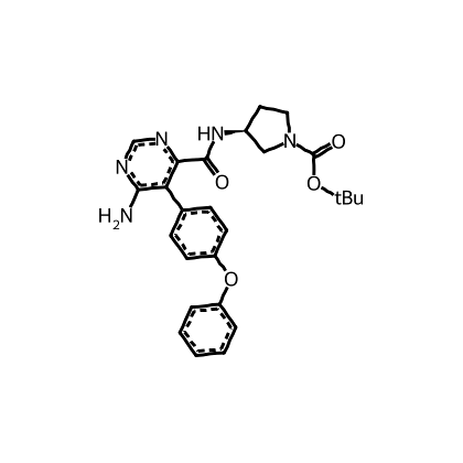 CC(C)(C)OC(=O)N1CC[C@H](NC(=O)c2ncnc(N)c2-c2ccc(Oc3ccccc3)cc2)C1